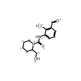 Cc1c(C=O)cccc1NC(=O)N1CCCCC1CO